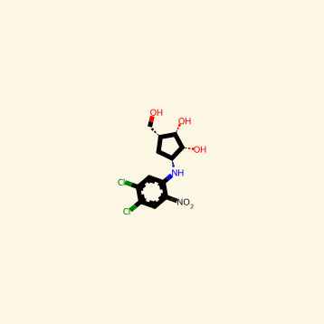 O=[N+]([O-])c1cc(Cl)c(Cl)cc1N[C@@H]1C[C@H](CO)[C@H](O)[C@@H]1O